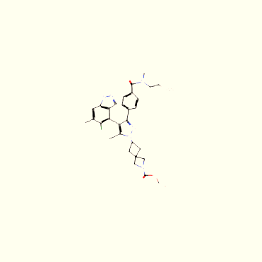 COCCN(C)C(=O)c1ccc(-c2nn(C3CC4(C3)CN(C(=O)OC(C)(C)C)C4)c(C)c2-c2c(Cl)c(C)cc3[nH]ncc23)cc1